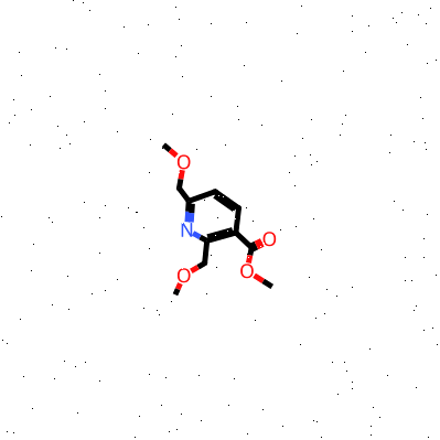 COCc1ccc(C(=O)OC)c(COC)n1